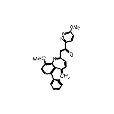 C=C1C=CC(CC(=O)c2ccc(OC)nn2)=Nc2c(OC)ccc(-c3ccccc3)c21